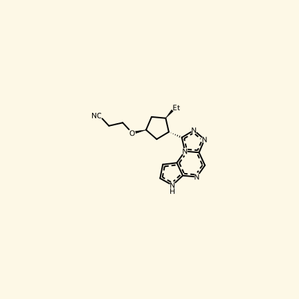 CC[C@@H]1C[C@H](OCCC#N)C[C@H]1c1nnc2cnc3[nH]ccc3n12